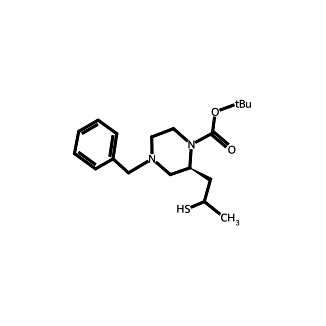 CC(S)C[C@H]1CN(Cc2ccccc2)CCN1C(=O)OC(C)(C)C